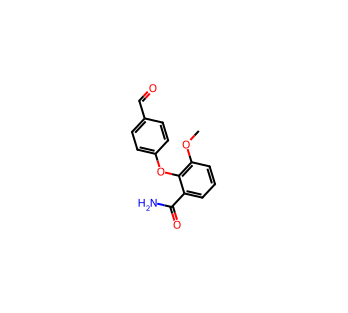 COc1cccc(C(N)=O)c1Oc1ccc(C=O)cc1